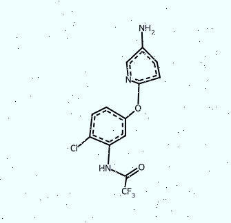 Nc1ccc(Oc2ccc(Cl)c(NC(=O)C(F)(F)F)c2)nc1